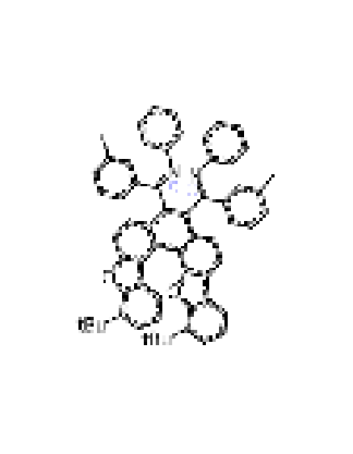 Cc1cccc(/C(=N\c2ccccc2)c2c(/C(=N/c3ccccc3)c3cccc(C)c3)c3ccc4oc5c(C(C)(C)C)cccc5c4c3c3c2ccc2c4cccc(C(C)(C)C)c4oc23)c1